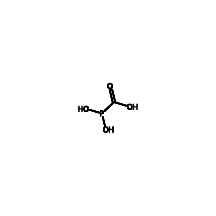 O=C(O)P(O)O